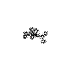 c1ccc(-c2cc(-c3ccccc3)cc(-c3ccc(N(c4ccccc4)c4c(-c5cccc(-c6cccc7ccccc67)c5)c5ccccc5c5ccccc45)cc3)c2)cc1